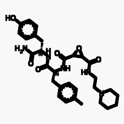 Cc1ccc(C[C@H](NC(=O)C2OC2C(=O)NCCN2CCCCC2)C(=O)N[C@@H](Cc2ccc(O)cc2)C(N)=O)cc1